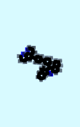 CC1(C)c2ccccc2-c2nc3ccc4ccccc4c3c(-c3cccc(-c4ccc(-c5cc6cccnc6c6ncccc56)cc4)c3)c21